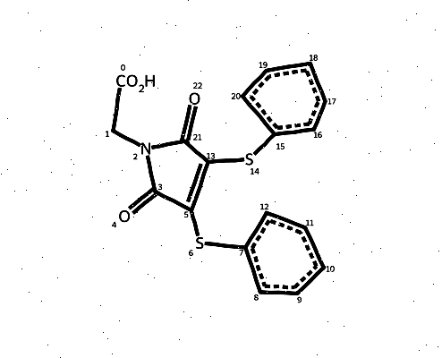 O=C(O)CN1C(=O)C(Sc2ccccc2)=C(Sc2ccccc2)C1=O